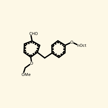 CCCCCCCCOc1ccc(Cc2cc(C=O)ccc2OCOC)cc1